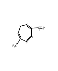 O=S(=O)(O)C1=CCC=C(C(F)(F)F)C=C1